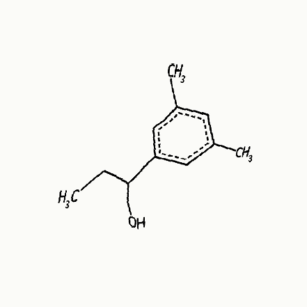 CCC(O)c1cc(C)cc(C)c1